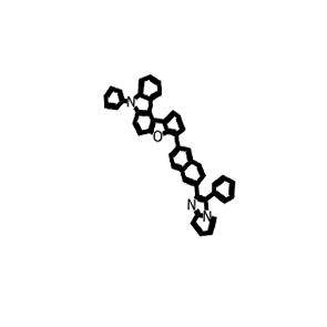 c1ccc(-c2c(-c3ccc4cc(-c5cccc6c5oc5ccc7c(c8ccccc8n7-c7ccccc7)c56)ccc4c3)nc3ccccn23)cc1